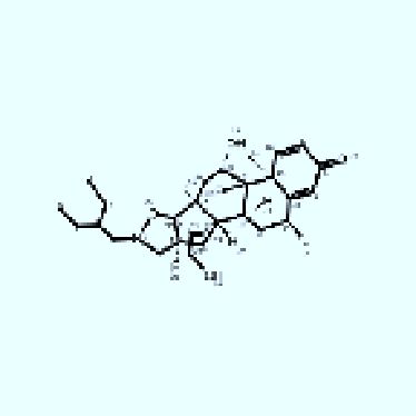 CCC(CC)CN1C[C@@H]2C[C@H]3[C@@H]4C[C@H](F)C5=CC(=O)C=C[C@]5(C)[C@@]4(F)[C@@H](O)C[C@]3(C)[C@]2(C(=O)CO)O1